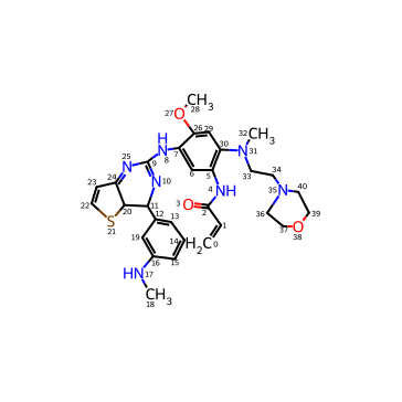 C=CC(=O)Nc1cc(NC2=NC(c3cccc(NC)c3)C3SC=CC3=N2)c(OC)cc1N(C)CCN1CCOCC1